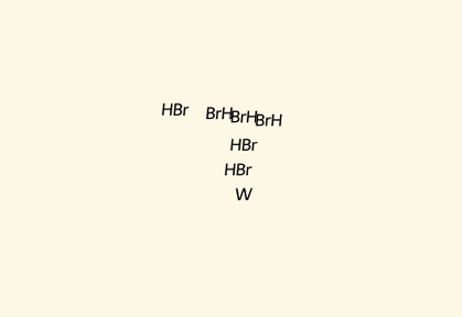 Br.Br.Br.Br.Br.Br.[W]